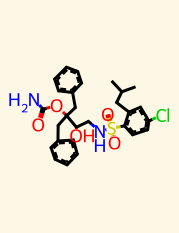 CC(C)Cc1cc(Cl)ccc1S(=O)(=O)NC[C@@H](O)C(Cc1ccccc1)(Cc1ccccc1)OC(N)=O